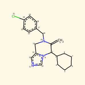 C=C1C(C2CCCCC2)n2cncc2CN1Cc1ccc(Cl)cc1